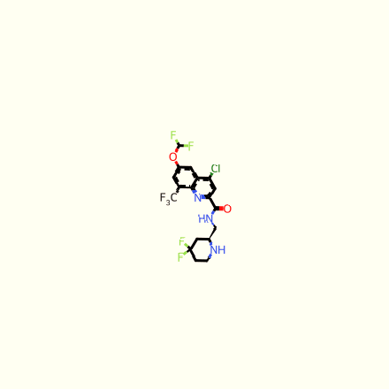 O=C(NC[C@@H]1CC(F)(F)CCN1)c1cc(Cl)c2cc(OC(F)F)cc(C(F)(F)F)c2n1